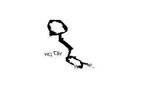 Cl.Cl.Nc1cncc(C#Cc2ccccc2)c1